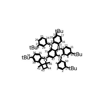 CC(C)(C)c1cccc(N2c3cc(C(C)(C)C)ccc3B3c4ccc(C(C)(C)C)cc4N(c4cccc(C(C)(C)C)c4)c4cc(N5c6ccc(C(C)(C)C)cc6C6(C)CCC56C)cc2c43)c1